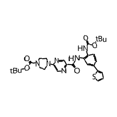 CC(C)(C)OC(=O)Nc1ccc(-c2cccs2)cc1NC(=O)c1cnc(N2CCN(C(=O)OC(C)(C)C)CC2)cn1